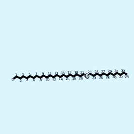 CCCCCCCCCCCCCCCCCCCCCCOCCCCCCCCCCCC